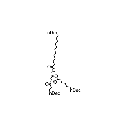 CCCCCCCCCCCCCCCCCCCCCC(=O)OC[C@@H](COC(=O)CCCCCCCCCCCC)OC(=O)CCCCCCCCCCCCCCC